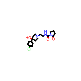 O=C1CCCN1C(=O)NCCN1CCC(O)(c2ccc(Cl)cc2)CC1